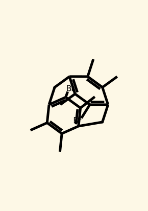 Cc1c(C)c2c(Br)c(C)c1Cc1c(C)c(C)c(c(C)c1Br)C2